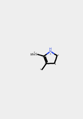 CSC1=C(C)CCN1